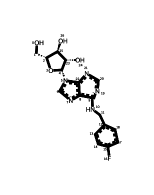 OC[C@H]1O[C@@H](n2cnc3c(NCc4ccc(F)cc4)ncnc32)[C@@H](O)[C@@H]1O